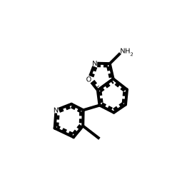 Cc1ccncc1-c1cccc2c(N)noc12